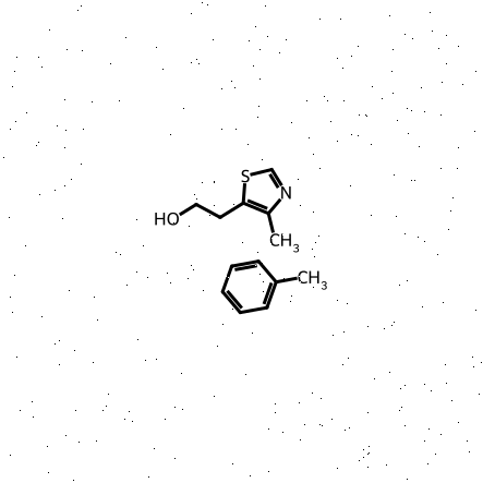 Cc1ccccc1.Cc1ncsc1CCO